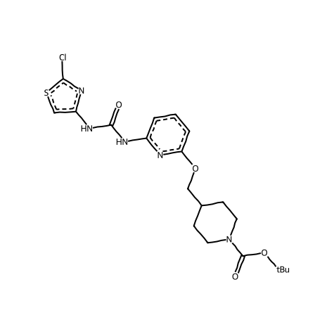 CC(C)(C)OC(=O)N1CCC(COc2cccc(NC(=O)Nc3csc(Cl)n3)n2)CC1